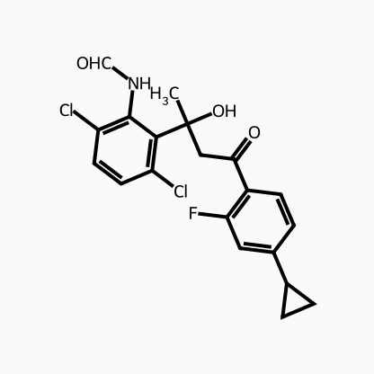 CC(O)(CC(=O)c1ccc(C2CC2)cc1F)c1c(Cl)ccc(Cl)c1NC=O